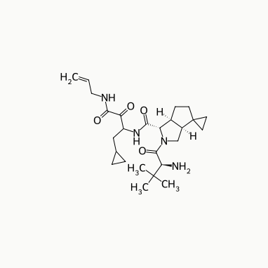 C=CCNC(=O)C(=O)C(CC1CC1)NC(=O)[C@@H]1[C@H]2CCC3(CC3)[C@H]2CN1C(=O)[C@@H](N)C(C)(C)C